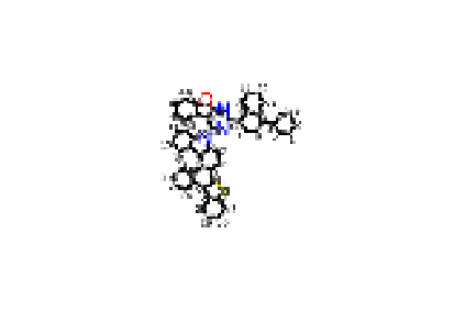 c1ccc(-c2ccc(-c3nc(-n4c5ccccc5c5c6c7ccccc7c7c8ccccc8sc7c6ccc54)c4c(n3)oc3ccccc34)c3ccccc23)cc1